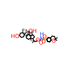 CC[C@@H](O)[C@@H]1[C@@H](C2(C)CCC(O)CC2)CCC2(C)C([C@H](C)COC(=O)NS(=O)(=O)c3ccc4c(c3)CCC(C)(C)O4)CC[C@@H]12